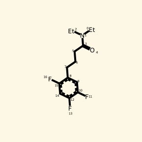 CCN(CC)C(=O)CCCc1cc(F)c(F)cc1F